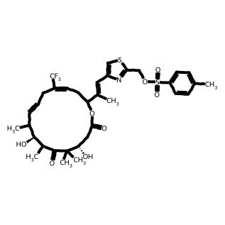 C/C(=C\c1csc(COS(=O)(=O)c2ccc(C)cc2)n1)C1C/C=C(/C(F)(F)F)C/C=C/C(C)[C@H](O)C(C)C(=O)C(C)(C)[C@@H](O)CC(=O)O1